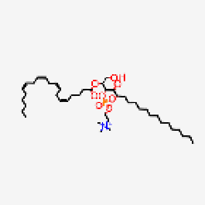 CCCCC/C=C\C/C=C\C/C=C\C/C=C\CCCC(=O)O[C@@H](CO)C(OP(=O)([O-])OCC[N+](C)(C)C)C(=O)CCCCCCCCCCCCCCC